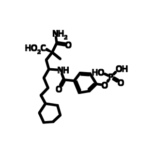 C[C@](CC(CCCC1CCCCC1)NC(=O)c1ccc(OP(=O)(O)O)cc1)(C(N)=O)C(=O)O